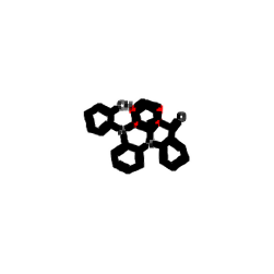 Cc1ccccc1N(c1ccccc1)c1ccccc1-n1c2ccccc2c(=O)c2ccccc21